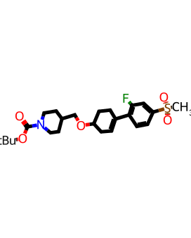 CC(C)(C)OC(=O)N1CCC(COC2CC=C(c3ccc(S(C)(=O)=O)cc3F)CC2)CC1